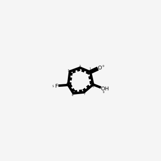 O=c1ccc(F)ccc1O